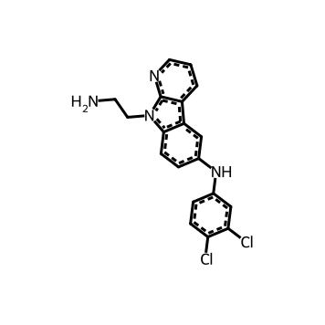 NCCn1c2ccc(Nc3ccc(Cl)c(Cl)c3)cc2c2cccnc21